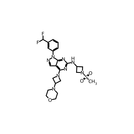 CS(=O)(=O)N1CC(Nc2nc(N3CC(N4CCOCC4)C3)c3cnn(-c4cccc(C(F)F)c4)c3n2)C1